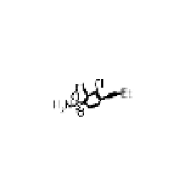 CCC#Cc1ccc(S(N)(=O)=O)c(Cl)c1Cl